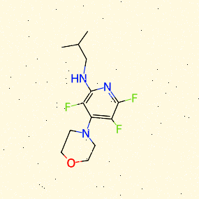 CC(C)CNc1nc(F)c(F)c(N2CCOCC2)c1F